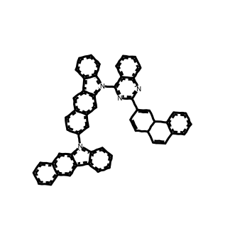 C1=CC2C=Cc3ccccc3C2C=C1c1nc(-n2c3ccccc3c3cc4ccc(-n5c6ccccc6c6cc7ccccc7cc65)cc4cc32)c2ccccc2n1